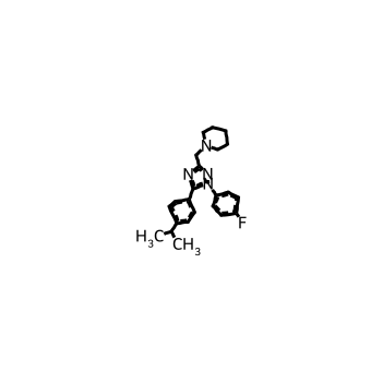 CC(C)c1ccc(-c2nc(CN3CCCCC3)nn2-c2ccc(F)cc2)cc1